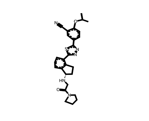 CC(C)Oc1ccc(-c2nnc(-c3cccc4c3CC[C@@H]4NCC(=O)N3CCCC3)s2)cc1C#N